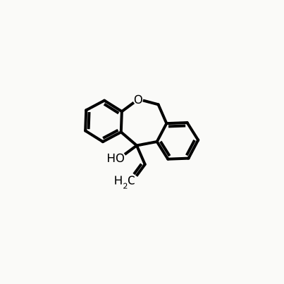 C=CC1(O)c2ccccc2COc2ccccc21